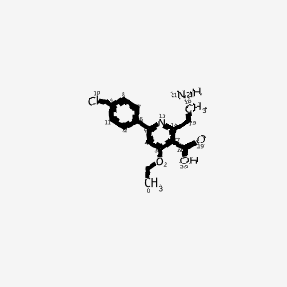 CCOc1cc(-c2ccc(Cl)cc2)nc(CC)c1C(=O)O.[NaH]